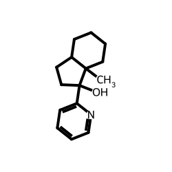 CC12CCCCC1CCC2(O)c1ccccn1